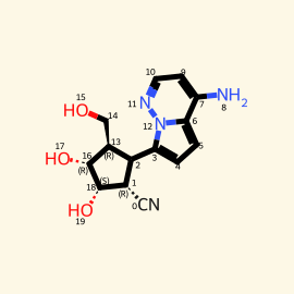 N#C[C@H]1C(c2ccc3c(N)ccnn23)[C@H](CO)[C@@H](O)[C@H]1O